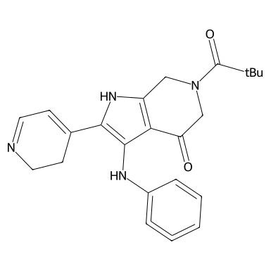 CC(C)(C)C(=O)N1CC(=O)c2c([nH]c(C3=CC=NCC3)c2NC2=C=C=CC=C2)C1